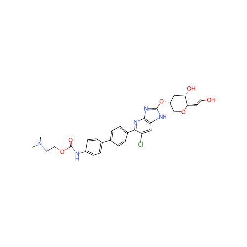 CN(C)CCOC(=O)Nc1ccc(-c2ccc(-c3nc4nc(O[C@H]5CO[C@H](/C=C/O)[C@@H](O)C5)[nH]c4cc3Cl)cc2)cc1